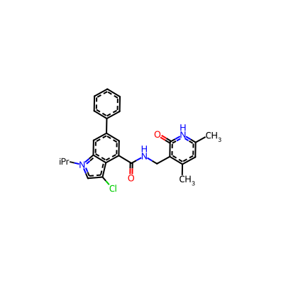 Cc1cc(C)c(CNC(=O)c2cc(-c3ccccc3)cc3c2c(Cl)cn3C(C)C)c(=O)[nH]1